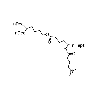 CCCCCCCCCCC(CCCCCCCCCC)CCCCOC(=O)CCCC(CCCCCCC)OC(=O)CCCN(C)C